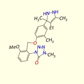 CCC1=C(C)NNC1(C)c1ccc(OCc2c(OC)cccc2-n2nnn(C)c2=O)c(C)c1